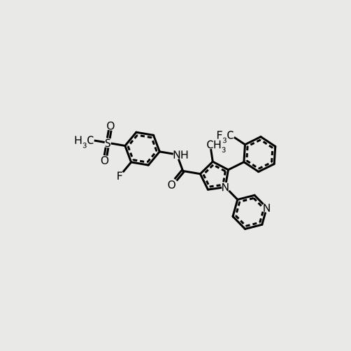 Cc1c(C(=O)Nc2ccc(S(C)(=O)=O)c(F)c2)cn(-c2cccnc2)c1-c1ccccc1C(F)(F)F